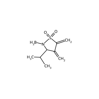 BN1C(C(C)C)C(=C)C(=C)S1(=O)=O